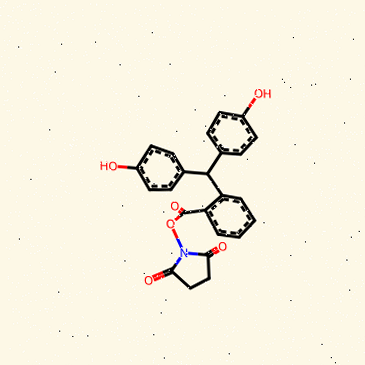 O=C(ON1C(=O)CCC1=O)c1ccccc1C(c1ccc(O)cc1)c1ccc(O)cc1